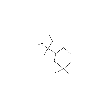 CC(C)C(C)(O)C1CCCC(C)(C)C1